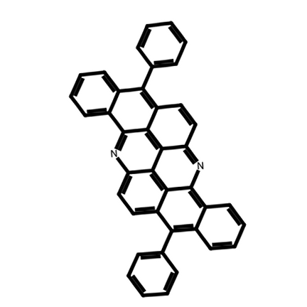 c1ccc(-c2c3ccccc3c3nc4ccc5c(-c6ccccc6)c6ccccc6c6nc7ccc2c3c7c4c56)cc1